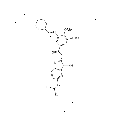 CCC(CC)Oc1ccc2nn(CC(=O)c3cc(OC)c(OC)c(OCC4CCCCC4)c3)c(=N)n2n1